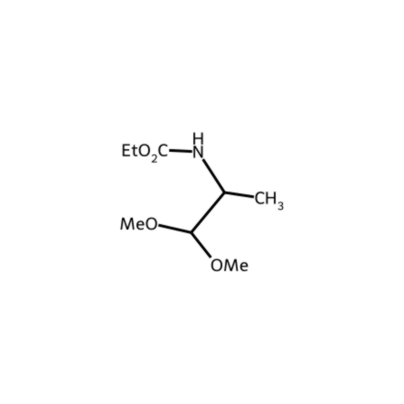 CCOC(=O)NC(C)C(OC)OC